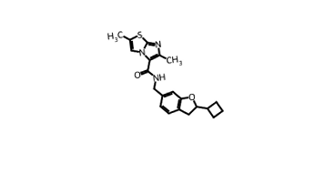 Cc1cn2c(C(=O)NCc3ccc4c(c3)OC(C3CCC3)C4)c(C)nc2s1